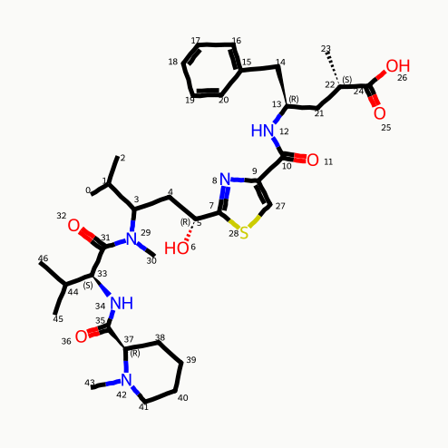 CC(C)C(C[C@@H](O)c1nc(C(=O)N[C@@H](Cc2ccccc2)C[C@H](C)C(=O)O)cs1)N(C)C(=O)[C@@H](NC(=O)[C@H]1CCCCN1C)C(C)C